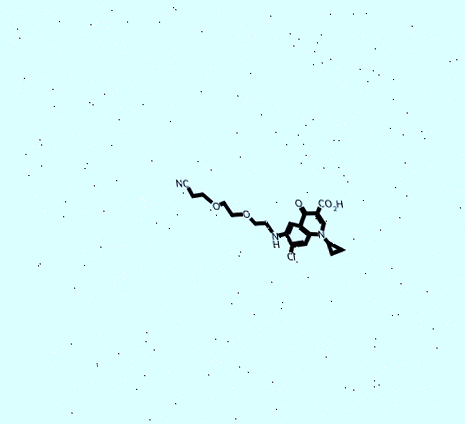 N#CCCOCCOCCNc1cc2c(=O)c(C(=O)O)cn(C3CC3)c2cc1Cl